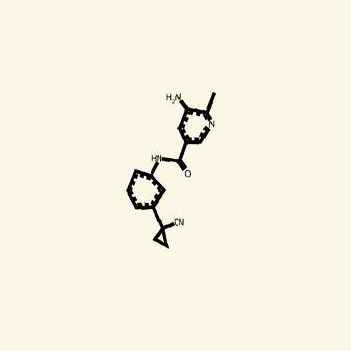 Cc1ncc(C(=O)Nc2cccc(C3(C#N)CC3)c2)cc1N